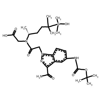 C[C@H](CCC(C)(C)[Si](C)(C)O)N(CC(=O)O)C(=O)Cn1nc(C(N)=O)c2cc(NC(=O)OC(C)(C)C)ccc21